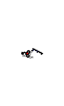 CC(C)=CCC/C(C)=C/CC/C(C)=C/COC1=C2OC3C(O)CCC4(O)C5CC(C=C1)C2C34CCN5CC1CCC1